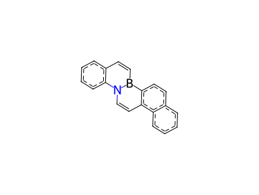 C1=Cc2ccccc2N2C=Cc3c(ccc4ccccc34)B12